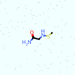 CSNCC(N)=O